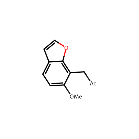 COc1ccc2ccoc2c1CC(C)=O